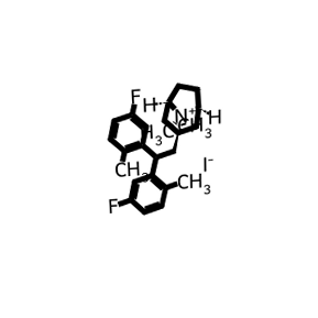 Cc1ccc(F)cc1C(C[C@H]1C[C@H]2CC[C@@H](C1)[N+]2(C)C)c1cc(F)ccc1C.[I-]